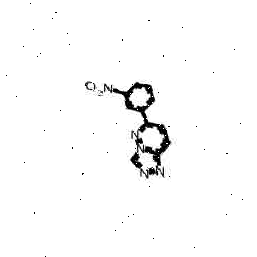 O=[N+]([O-])c1cccc(-c2ccc3nncn3n2)c1